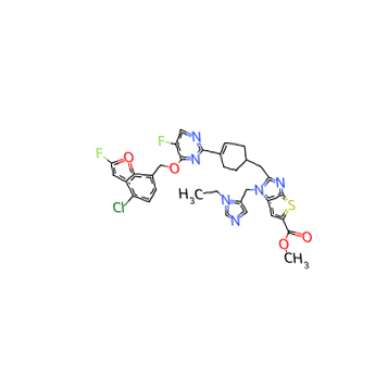 CCn1cncc1Cn1c(CC2CC=C(c3ncc(F)c(OCc4ccc(Cl)c5cc(F)oc45)n3)CC2)nc2sc(C(=O)OC)cc21